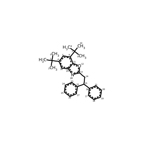 CC(C)(C)c1cc(C(C)(C)C)c2oc(CC(c3ccccc3)c3ccccc3)nc2c1